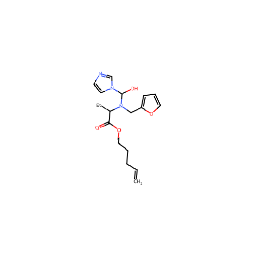 C=CCCCOC(=O)C(CC)N(Cc1ccco1)C(O)n1ccnc1